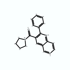 O=C(c1cc2cnccc2nc1-c1ccccc1)N1CCCC1